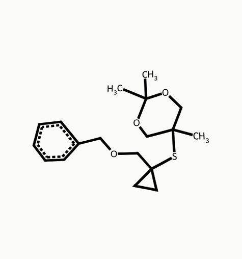 CC1(C)OCC(C)(SC2(COCc3ccccc3)CC2)CO1